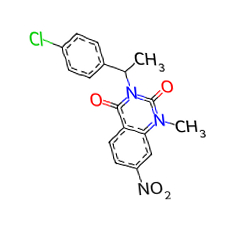 CC(c1ccc(Cl)cc1)n1c(=O)c2ccc([N+](=O)[O-])cc2n(C)c1=O